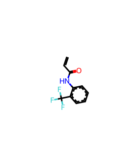 C=CC(=O)Nc1ccccc1C(F)(F)F